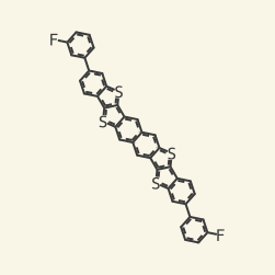 Fc1cccc(-c2ccc3c(c2)sc2c4cc5cc6sc7c8ccc(-c9cccc(F)c9)cc8sc7c6cc5cc4sc32)c1